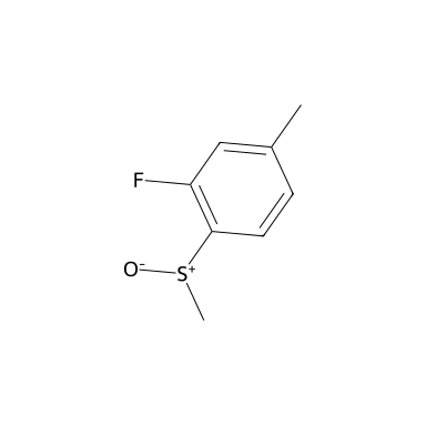 Cc1ccc([S+](C)[O-])c(F)c1